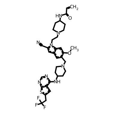 C=CC(=O)NC1CCN(CCn2c(C#N)cc3cc(CN4CCC(Nc5ncnc6sc(CC(F)(F)F)cc56)CC4)c(OC)cc32)CC1